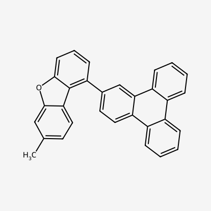 Cc1ccc2c(c1)oc1cccc(-c3ccc4c5ccccc5c5ccccc5c4c3)c12